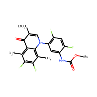 CCOC(=O)c1cn(-c2cc(NC(=O)OC(C)(C)C)c(F)cc2F)c2c(C)c(F)c(F)c([N+](=O)[O-])c2c1=O